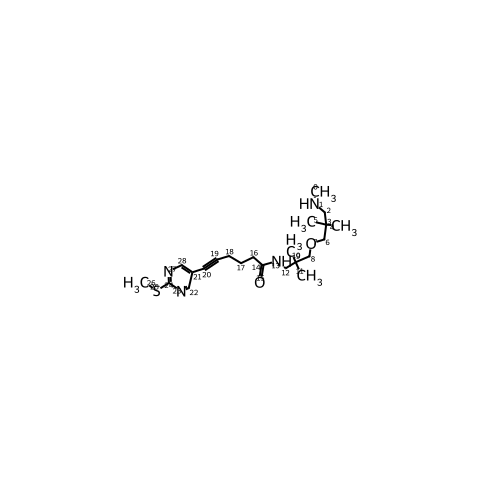 CNCC(C)(C)COCC(C)(C)CNC(=O)CCCC#Cc1cnc(SC)nc1